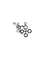 Cc1cc(/C=C2\CN(C(c3ccccc3)(c3ccccc3)c3ccccc3)CCC2=O)n(C)n1